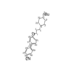 CCCCC1CCC(CCCOc2ccc(-c3ccc(C#N)cc3)cc2)CC1